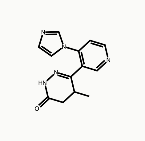 CC1CC(=O)NN=C1c1cnccc1-n1ccnc1